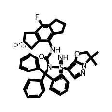 CC1(C)COc2c(S(=N)(=O)N(C(=O)Nc3c4c(c(F)c5c3C[C@H](F)C5)CCC4)C(c3ccccc3)(c3ccccc3)c3ccccc3)cnn21